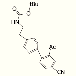 CC(=O)c1cc(C#N)ccc1-c1ccc(CCNC(=O)OC(C)(C)C)cc1